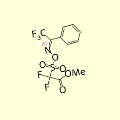 COC(=O)C(F)(F)S(=O)(=O)O/N=C(\c1ccccc1)C(F)(F)F